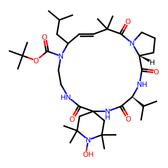 CC(C)CC1/C=C/C(C)(C)C(=O)N2CCC[C@@H]2C(=O)N[C@@H](C(C)C)C(=O)NC2(CC(C)(C)N(O)C(C)(C)C2)C(=O)NCCN1C(=O)OC(C)(C)C